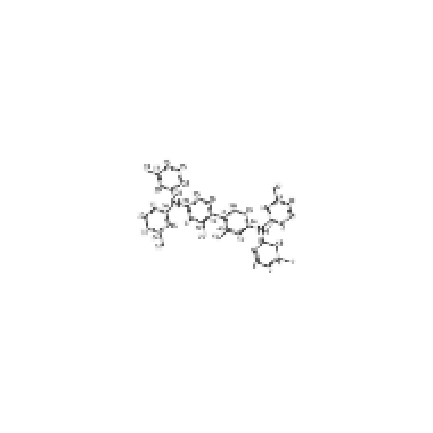 CC1=CC=CC(N(c2cccc(C)c2)c2ccc(-c3ccc(N(c4cccc(C)c4)c4cccc(C)c4)cc3C)c(C)c2)C1